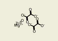 O=C([O-])C(=O)[O-].O=C([O-])C(=O)[O-].[Mg+2].[O]=[Zr+2]